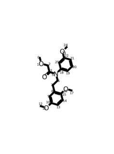 COCC(=O)N(CCc1cc(OC)ccc1OC)c1cccc(OC)c1